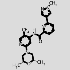 C[C@@H]1CN(c2cc(NC(=O)c3cccc(-c4cnn(C)c4)n3)c(C(F)(F)F)cn2)C[C@H](C)O1